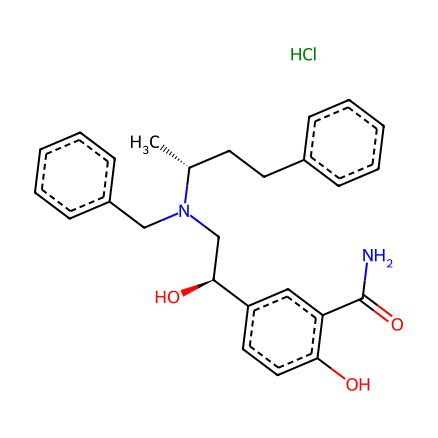 C[C@H](CCc1ccccc1)N(Cc1ccccc1)C[C@H](O)c1ccc(O)c(C(N)=O)c1.Cl